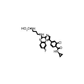 O=C(O)NCCCNc1nc2ccc(F)cc2n2c(-c3ccc(C(=O)NC4CC4)c(Cl)c3)cnc12